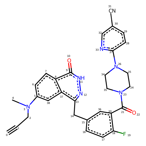 C#CCN(C)c1ccc2c(=O)[nH]nc(Cc3ccc(F)c(C(=O)N4CCN(c5ccc(C#N)cn5)CC4)c3)c2c1